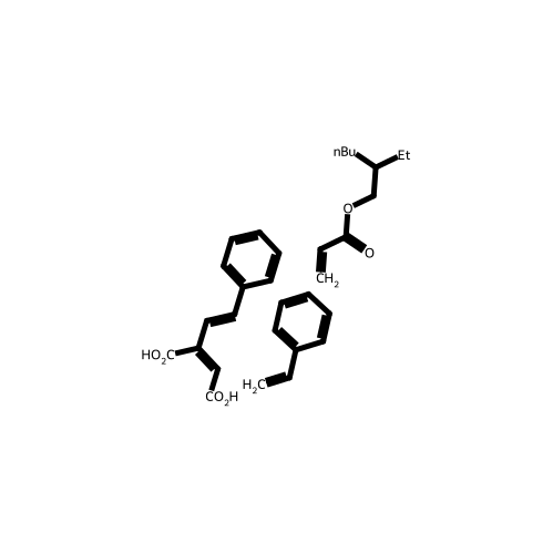 C=CC(=O)OCC(CC)CCCC.C=Cc1ccccc1.O=C(O)C=C(C=Cc1ccccc1)C(=O)O